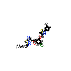 COc1nn2c(-c3cc4c(OCc5csc(-c6cccc(C)c6)n5)cc(Cl)cc4o3)cnc2s1